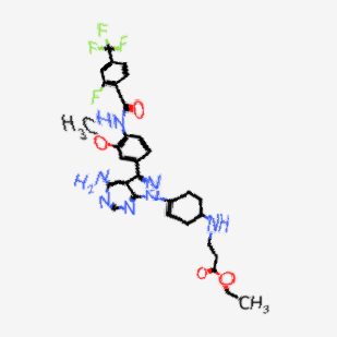 CCOC(=O)CCNC1CCC(n2nc(-c3ccc(NC(=O)c4ccc(C(F)(F)F)cc4F)c(OC)c3)c3c(N)ncnc32)CC1